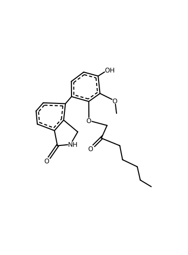 CCCCCC(=O)COc1c(-c2cccc3c2CNC3=O)ccc(O)c1OC